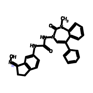 CN1C(=O)N(NC(=O)Nc2ccc3c(c2)/C(=N\O)CC3)C=C(c2ccccc2)c2ccccc21